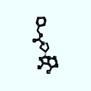 O=C(OCc1ccccc1)N1CC[C@H](c2nc(Br)c3c(Cl)ncnn23)C1